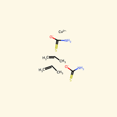 C=CC.C=CC.NC([O-])=S.NC([O-])=S.[Cu+2]